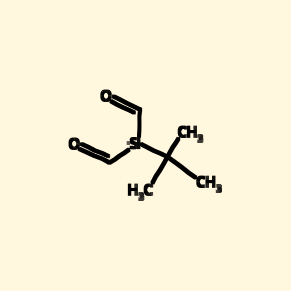 CC(C)(C)[Si](C=O)C=O